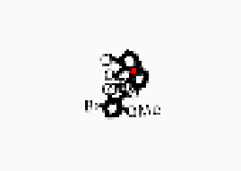 COc1ccc(Br)c(OC)c1C(=O)P(=O)(C(=O)c1c(Cl)cccc1Cl)c1ccccc1